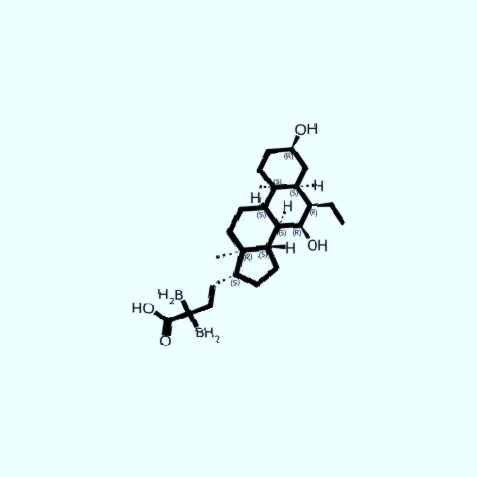 BC(B)(CC[C@H]1CC[C@H]2[C@@H]3[C@H](O)[C@H](CC)[C@@H]4C[C@H](O)CC[C@]4(C)[C@H]3CC[C@]12C)C(=O)O